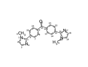 Cn1ccnc1-c1ccc(C(=O)c2ccc(-c3nccn3C)cc2)cc1